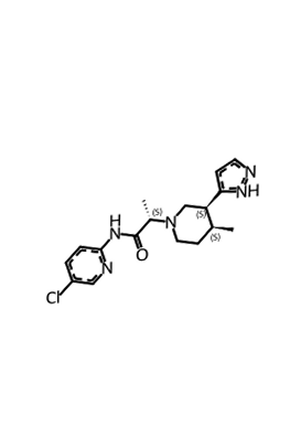 C[C@H]1CCN([C@@H](C)C(=O)Nc2ccc(Cl)cn2)C[C@H]1c1ccn[nH]1